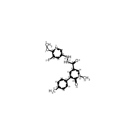 COc1ncc(NNC(=O)c2cc(-c3ccc(C)cc3)c(=O)n(C)c2)cc1F